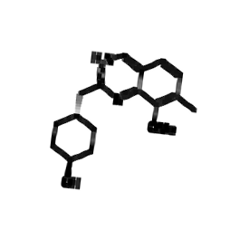 C=C(C[C@H]1CC[C@H](O)CC1)/N=C1/C(OC)=C(C)C=C/C1=C/N